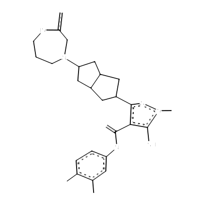 Cn1nc(C2CC3CC(N4CCCNC(=O)C4)CC3C2)c(C(=O)Nc2ccc(F)c(Cl)c2)c1N